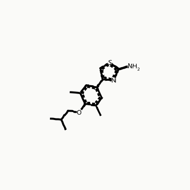 Cc1cc(-c2csc(N)n2)cc(C)c1OCC(C)C